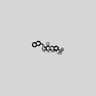 Nc1nc2ncn(Cc3ccc4ccccc4c3)c2c(=O)n1Cc1ccc([N+](=O)[O-])cc1